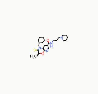 CC=C1Oc2ncc(C(=O)NCCCN3CCCCC3)cc2N(CC2CCCCC2)C1=S